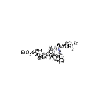 C=C/C(=C\C=C\N(c1ccccc1)c1ccc(C=C(C2=CCC(C(=O)OCC(=C)C(=O)OCC)C=C2)c2ccccc2)cc1)C(=O)OCC(=C)C(=O)OCC